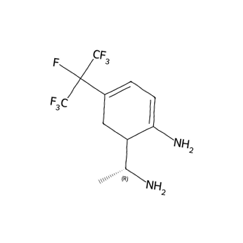 C[C@@H](N)C1CC(C(F)(C(F)(F)F)C(F)(F)F)=CC=C1N